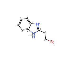 BrCCc1nc2ccccc2[nH]1